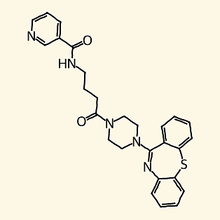 O=C(NCCCC(=O)N1CCN(C2=Nc3ccccc3Sc3ccccc32)CC1)c1cccnc1